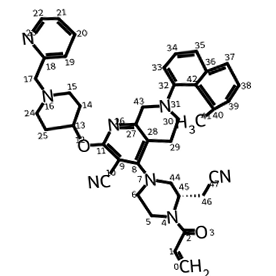 C=CC(=O)N1CCN(c2c(C#N)c(OC3CCN(Cc4ccccn4)CC3)nc3c2CCN(c2cccc4cccc(C)c24)C3)C[C@@H]1CC#N